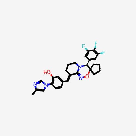 Cc1cn(-c2ccc(/C=C3\CCCN4C3=NOC3(CCCC3)[C@@H]4c3cc(F)c(F)c(F)c3)cc2O)cn1